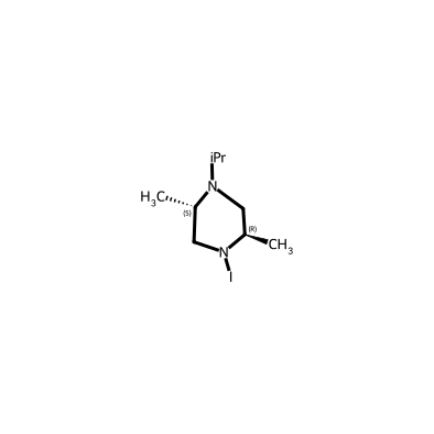 CC(C)N1C[C@@H](C)N(I)C[C@@H]1C